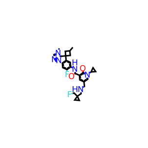 CC1CC(c2ccc(F)c(NC(=O)c3cc(CNCC4(CF)CC4)cn(C4CC4)c3=O)c2)(c2nncn2C)C1